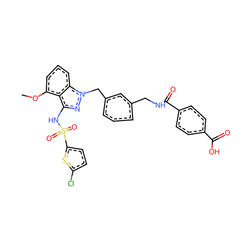 COc1cccc2c1c(NS(=O)(=O)c1ccc(Cl)s1)nn2Cc1cccc(CNC(=O)c2ccc(C(=O)O)cc2)c1